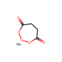 O=C1CCC(=O)OOO1.[Na]